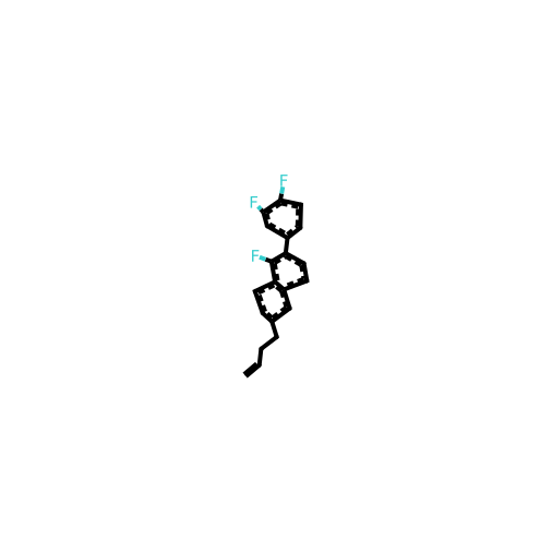 C=CCCc1ccc2c(F)c(-c3ccc(F)c(F)c3)ccc2c1